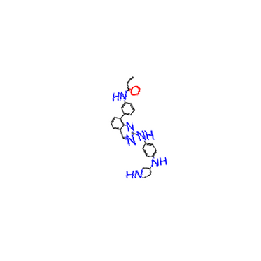 C=CC(=O)Nc1cccc(-c2cccc3cnc(Nc4ccc(NC5CCNC5)cc4)nc23)c1